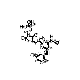 O=C1CC(=Cc2cnn3c(NC4CC4)cc(Nc4cc(Cl)ccc4F)nc23)C(=O)N1COP(=O)(O)O